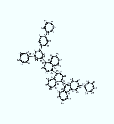 c1ccc(-c2ccc(-c3cc(-c4ccccc4)nc(-c4ccc(-c5ccc(-n6c7ccccc7c7cc(-c8ccccc8)ccc76)c6ccccc56)c5ccccc45)n3)cc2)cc1